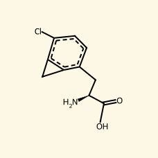 N[C@@H](Cc1ccc(Cl)c2c1C2)C(=O)O